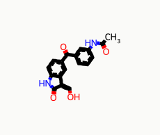 CC(=O)Nc1cccc(C(=O)c2ccc3c(c2)C(=CO)C(=O)N3)c1